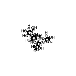 CC(=O)N[C@H]1[C@H](O[C@H]2[C@H](O)[C@@H](NC(C)=O)C(O)O[C@@H]2CO[C@@H]2O[C@@H](C)[C@@H](O)[C@@H](O)[C@@H]2O)O[C@H](CO)[C@@H](O[C@@H]2O[C@H](CO)[C@@H](O)[C@H](O)[C@@H]2O)[C@@H]1O